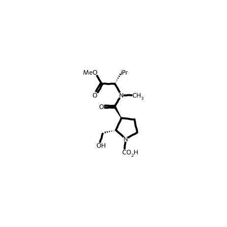 COC(=O)[C@H](C(C)C)N(C)C(=O)[C@H]1CCN(C(=O)O)[C@@H]1CO